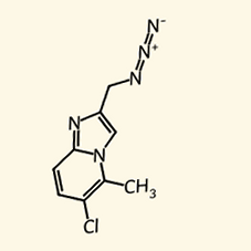 Cc1c(Cl)ccc2nc(CN=[N+]=[N-])cn12